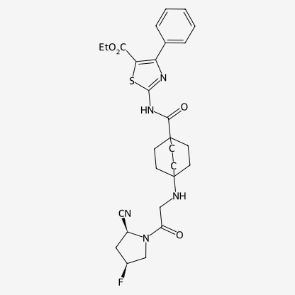 CCOC(=O)c1sc(NC(=O)C23CCC(NCC(=O)N4C[C@@H](F)C[C@H]4C#N)(CC2)CC3)nc1-c1ccccc1